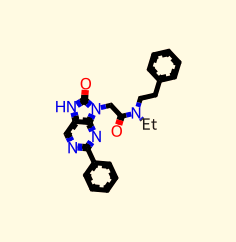 CCN(CCc1ccccc1)C(=O)Cn1c(=O)[nH]c2cnc(-c3ccccc3)nc21